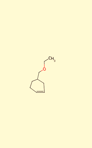 CCOCC1CC=CCC1